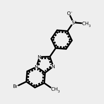 Cc1cc(Br)cn2nc(-c3ccc([S+](C)[O-])cc3)nc12